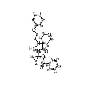 CN(CCOc1ccccc1)C1(C(=O)NC2(OC(=O)c3ccccn3)CC2)CCOCC1